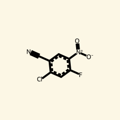 N#Cc1cc([N+](=O)[O-])c(F)cc1Cl